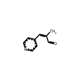 CC(C=O)=Cc1ccncc1